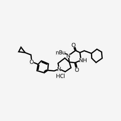 CCCCN1C(=O)C(CC2CCCCC2)NC(=O)C12CCN(Cc1ccc(OCC3CC3)cc1)CC2.Cl